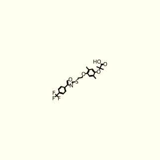 Cc1cc(OC(C)(C)C(=O)O)c(C)cc1OCCSc1nc(-c2ccc(C(F)(F)F)cc2)co1